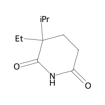 CCC1(C(C)C)CCC(=O)NC1=O